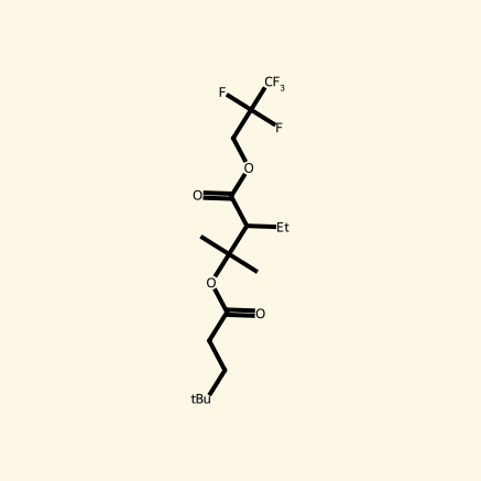 CCC(C(=O)OCC(F)(F)C(F)(F)F)C(C)(C)OC(=O)CCC(C)(C)C